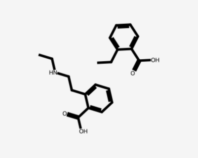 CCNCCc1ccccc1C(=O)O.CCc1ccccc1C(=O)O